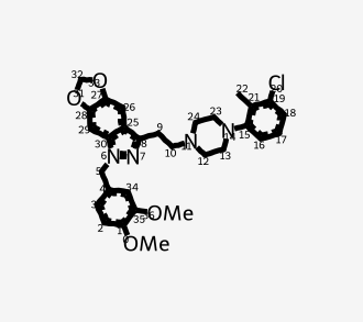 COc1ccc(Cn2nc(CCN3CCN(c4cccc(Cl)c4C)CC3)c3cc4c(cc32)OCO4)cc1OC